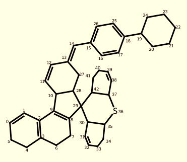 C1=CC2=C(CC1)CCC1=C2C2C=C/C(=C/c3ccc(C4CCCCC4)cc3)CC2C12C1C=CCCC1SC1C=CCCC12